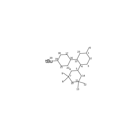 CC1CC[C](C2CC(C)(C)CC(C)(C)C2)C(C2CCC(C(C)(C)C)CC2)C1